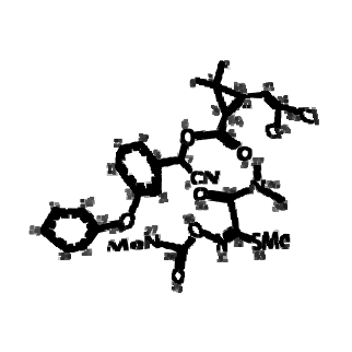 CC1(C)[C@H](C(=O)OC(C#N)c2cccc(Oc3ccccc3)c2)[C@@H]1C=C(Cl)Cl.CNC(=O)ON=C(SC)C(=O)N(C)C